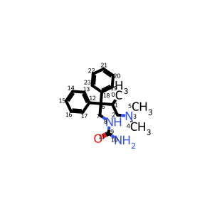 CC(CN(C)C)C(CNC(N)=O)(c1ccccc1)c1ccccc1